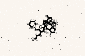 CC(C)C1=CC2CC3(C=O)[C@@H]4CC[C@@H](C)[C@H]4CC2(C2CC(CCC=O)C(CN4CCCCC4)O2)C13C(=O)O